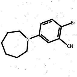 N#Cc1cc(N2CCCCCC2)ccc1Br